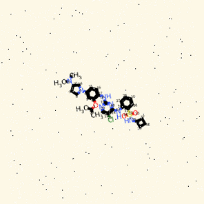 CC(C)Oc1cc(N2CC[C@H](N(C)C)C2)ccc1Nc1ncc(Cl)c(Nc2ccccc2S(=O)(=O)NC2CCC2)n1